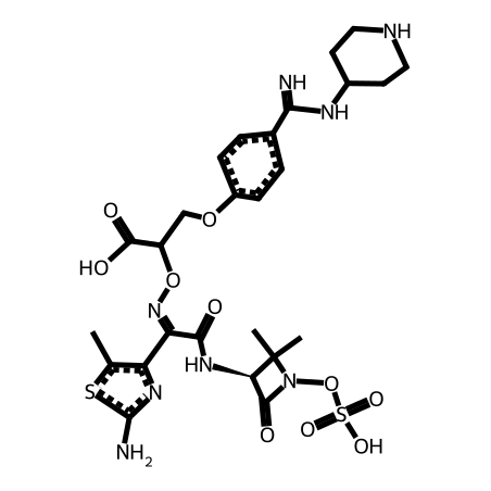 Cc1sc(N)nc1/C(=N/OC(COc1ccc(C(=N)NC2CCNCC2)cc1)C(=O)O)C(=O)N[C@@H]1C(=O)N(OS(=O)(=O)O)C1(C)C